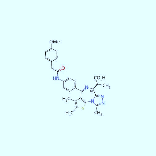 COc1ccc(CC(=O)Nc2ccc(C3=N[C@@H](C(C)C(=O)O)c4nnc(C)n4-c4sc(C)c(C)c43)cc2)cc1